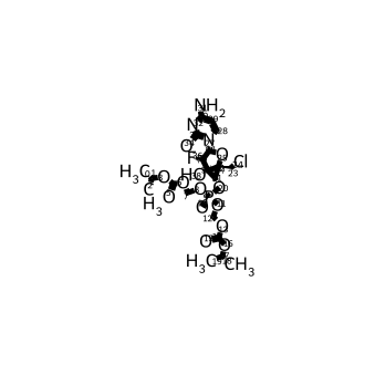 CC(C)OC(=O)OCOP(=O)(OCOC(=O)OC(C)C)OC1[C@@]2(CCl)O[C@@H](n3ccc(N)nc3=O)[C@H](F)[C@@]12O